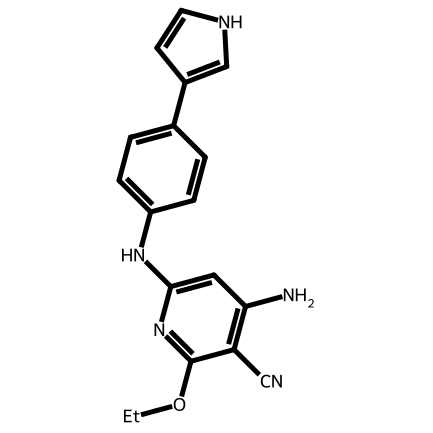 CCOc1nc(Nc2ccc(-c3cc[nH]c3)cc2)cc(N)c1C#N